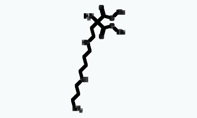 CC(C)(C)OC(=O)C(N)(CCNCCCCNCCCN)C(=O)OC(C)(C)C